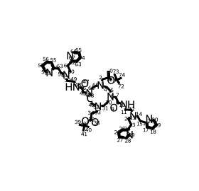 C=C(CN1CCN(CC(=O)NCCN(CCc2ccccn2)CCc2ccccn2)CCN(CCC(=O)OC(C)(C)C)CCN(CC(=O)NCCN(CCc2ccccn2)CCc2ccccn2)CC1)OC(C)(C)C